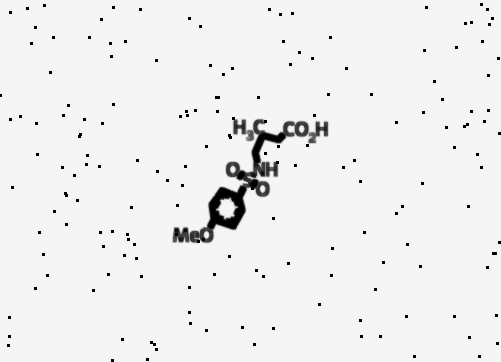 COc1ccc(S(=O)(=O)NCC(C)CC(=O)O)cc1